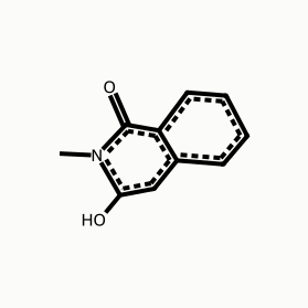 Cn1c(O)cc2ccccc2c1=O